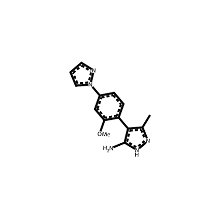 COc1cc(-n2cccn2)ccc1-c1c(C)n[nH]c1N